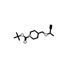 C#CC(C)OCC1CCN(C(=O)OC(C)(C)C)CC1